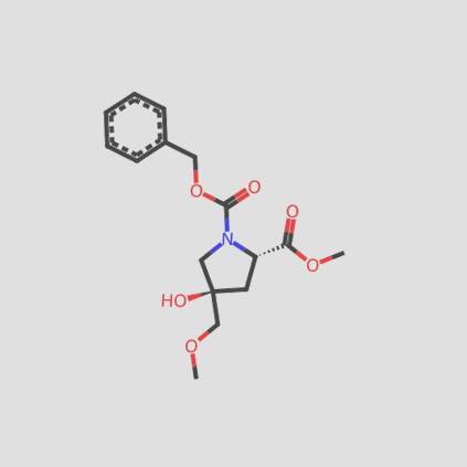 COC[C@@]1(O)C[C@@H](C(=O)OC)N(C(=O)OCc2ccccc2)C1